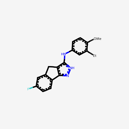 CCc1cc(Nc2[nH]nc3c2Cc2cc(F)ccc2-3)ccc1OC